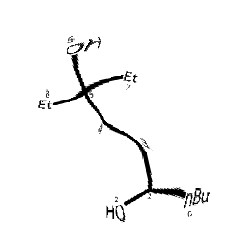 CCCCC(O)CCC(O)(CC)CC